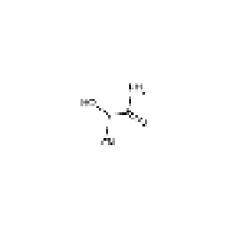 N#CC(O)C(N)=O